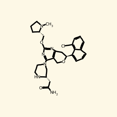 CN1CCC[C@H]1COc1nc2c(c(N3CCN[C@@H](CC(N)=O)C3)n1)CO[C@H](c1cccc3cccc(Cl)c13)C2